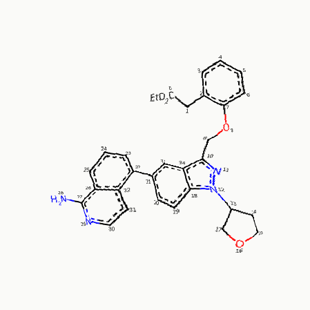 CCOC(=O)Cc1ccccc1OCc1nn(C2CCOC2)c2ccc(-c3cccc4c(N)nccc34)cc12